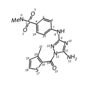 CNS(=O)(=O)c1ccc(Nc2nc(N)n(C(=O)c3sccc3C)n2)cc1